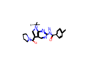 CCC(C)(C)n1cc(C(=O)N2CCCC2)c2cnc(NC(=O)c3ccc(C)cc3)nc21